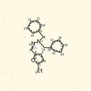 CCc1ccc(/C=N\N(Cc2ccccc2)Cc2ccccc2)o1